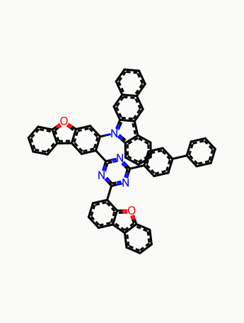 c1ccc(-c2ccc(-c3nc(-c4cc5c(cc4-n4c6ccccc6c6cc7ccccc7cc64)oc4ccccc45)nc(-c4cccc5c4oc4ccccc45)n3)cc2)cc1